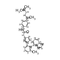 Cc1cccc(-n2nc(CC(=O)Nc3ccc(N(C)CCN(C)C)cc3)cc2-c2ccc3ncnn3c2)n1